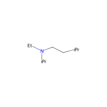 CCN(CCC(C)C)C(C)C